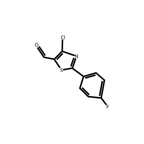 O=Cc1sc(-c2ccc(F)cc2)nc1Cl